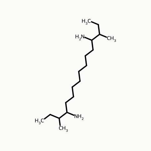 CCC(C)C(N)CCCCCCCCC(N)C(C)CC